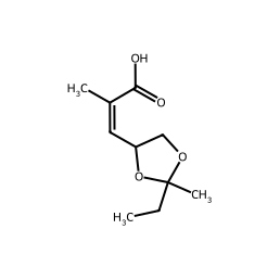 CCC1(C)OCC(C=C(C)C(=O)O)O1